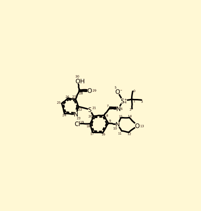 CC(C)(C)[S+]([O-])/N=C/c1c(N2CCOCC2)ccc(Cl)c1Sc1ncccc1C(=O)O